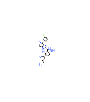 CCNCc1cncc(-c2ccc3[nH]nc(-c4nc5c(-c6cccc(F)c6)nccc5[nH]4)c3c2)c1